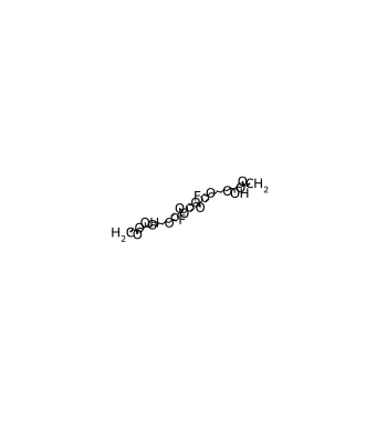 C=CC(=O)OCC(O)COCCCCOc1ccc(C(=O)Oc2ccc(OC(=O)c3ccc(OCCCCOCC(O)COC(=O)C=C)cc3F)cc2)c(F)c1